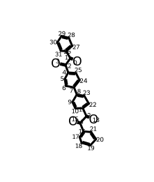 O=C(C(=O)c1ccc(-c2ccc(C(=O)C(=O)c3ccccc3)cc2)cc1)c1ccccc1